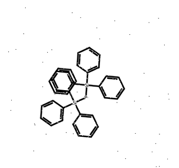 c1ccc([Si]([P][Si](c2ccccc2)(c2ccccc2)c2ccccc2)(c2ccccc2)c2ccccc2)cc1